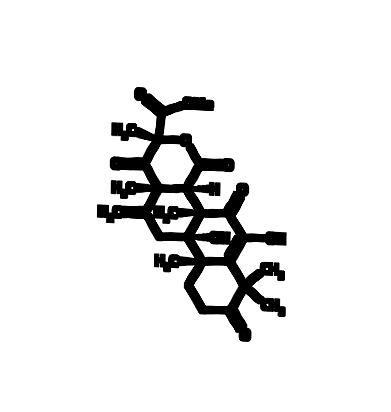 C=C1C[C@]2(O)[C@@]3(C)CCC(=O)C(C)(C)C3=C(O)C(=O)[C@@]2(C)[C@@H]2C(=O)O[C@@](C)(C(=O)OC)C(=O)[C@@]12C